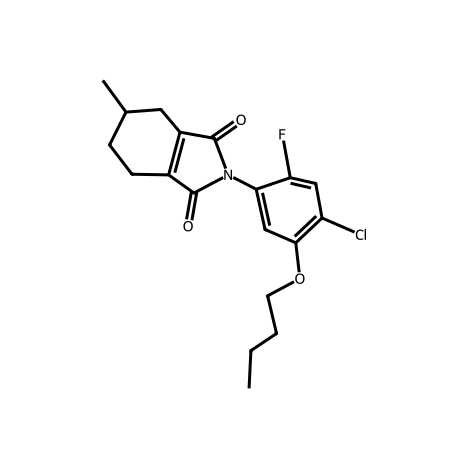 CCCCOc1cc(N2C(=O)C3=C(CC(C)CC3)C2=O)c(F)cc1Cl